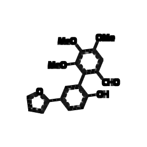 COc1cc(C=O)c(-c2cc(-c3ccco3)ccc2O)c(OC)c1OC